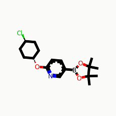 CC1(C)OB(c2ccc(O[C@H]3CC[C@H](Cl)CC3)nc2)OC1(C)C